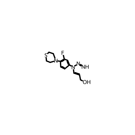 N=NN(/C=C/CO)c1ccc(N2CCSCC2)c(F)c1